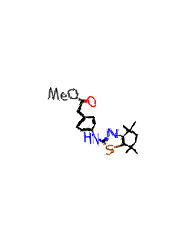 COC(=O)Cc1ccc(Nc2nc3c(s2)C(C)(C)CCC3(C)C)cc1